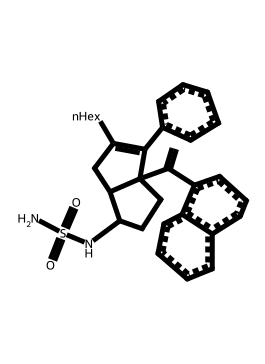 C=C(c1cccc2ccccc12)C12CCC(NS(N)(=O)=O)C1CC(CCCCCC)=C2c1ccccc1